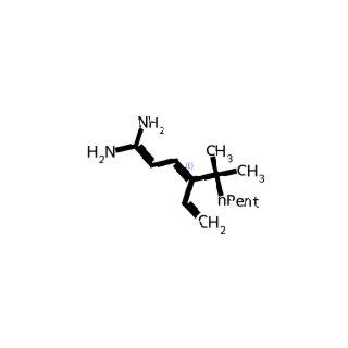 C=C/C(=C\C=C(N)N)C(C)(C)CCCCC